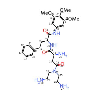 COc1cc(NC(=O)[C@H](CCc2ccccc2)NC(=O)[C@@H](N)CC(=O)N(CCN)CCN)cc(OC)c1OC